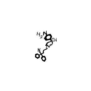 N#CC(CCCN1CCC(O)(c2ccc(N)cc2)CC1)(c1ccccc1)c1ccccc1